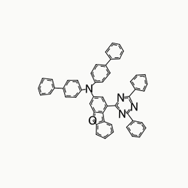 c1ccc(-c2ccc(N(c3ccc(-c4ccccc4)cc3)c3cc(-c4nc(-c5ccccc5)nc(-c5ccccc5)n4)c4c(c3)oc3ccccc34)cc2)cc1